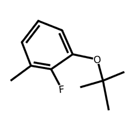 Cc1cccc(OC(C)(C)C)c1F